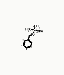 CC(C)(C)[Si](C)(C)O[CH]c1ccccc1